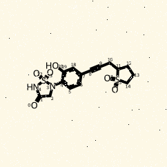 O=C1CN(c2ccc(C#CCC3CCCS3(=O)=O)cc2O)S(=O)(=O)N1